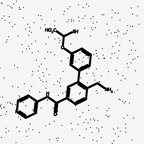 NCc1ccc(C(=O)Nc2ccncc2)cc1-c1cccc(OC(S)C(=O)O)c1